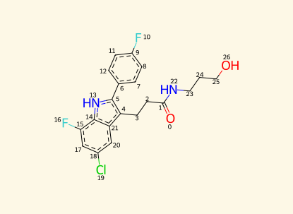 O=C(CCc1c(-c2ccc(F)cc2)[nH]c2c(F)cc(Cl)cc12)NCCCO